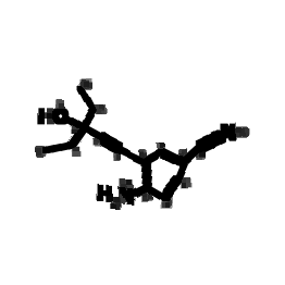 CCC(O)(C#Cc1cc(C#N)ccc1N)CC